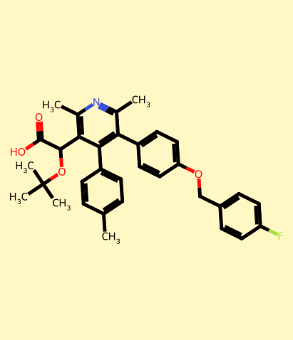 Cc1ccc(-c2c(-c3ccc(OCc4ccc(F)cc4)cc3)c(C)nc(C)c2C(OC(C)(C)C)C(=O)O)cc1